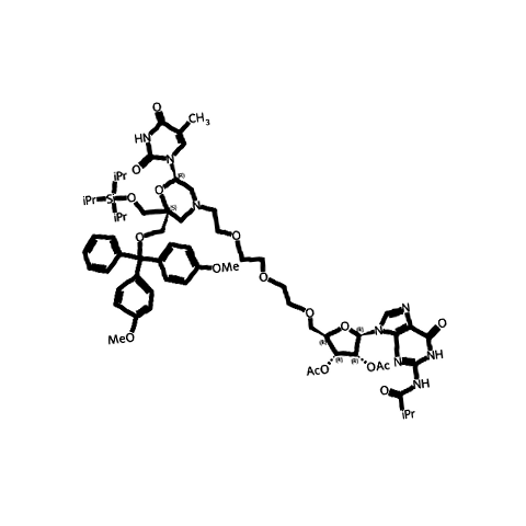 COc1ccc(C(OC[C@]2(CO[Si](C(C)C)(C(C)C)C(C)C)CN(CCOCCOCCOC[C@H]3O[C@@H](n4cnc5c(=O)[nH]c(NC(=O)C(C)C)nc54)[C@H](OC(C)=O)[C@@H]3OC(C)=O)C[C@H](n3cc(C)c(=O)[nH]c3=O)O2)(c2ccccc2)c2ccc(OC)cc2)cc1